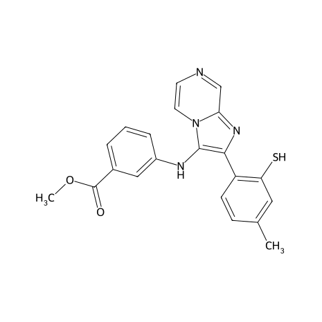 COC(=O)c1cccc(Nc2c(-c3ccc(C)cc3S)nc3cnccn23)c1